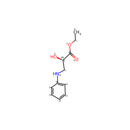 CCOC(=O)[C@H](O)CNc1ccccc1